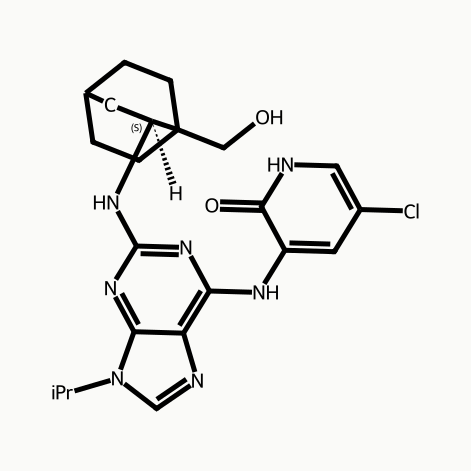 CC(C)n1cnc2c(Nc3cc(Cl)c[nH]c3=O)nc(N[C@H]3CC4CCC3(CO)CC4)nc21